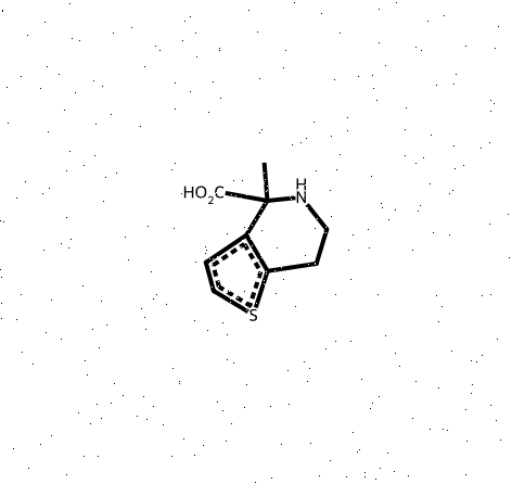 CC1(C(=O)O)NCCc2sccc21